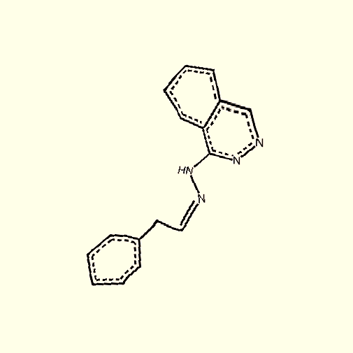 C(/Cc1ccccc1)=N/Nc1nncc2ccccc12